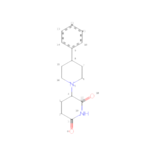 O=C1CCC(N2CCC(c3ccccc3)CC2)C(=O)N1